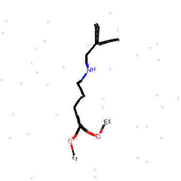 C=C(C)CNCCCC(OCC)OCC